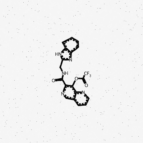 O=C(NCc1nc2ccccc2[nH]1)c1ncc2cccnc2c1OC(=O)C(F)(F)F